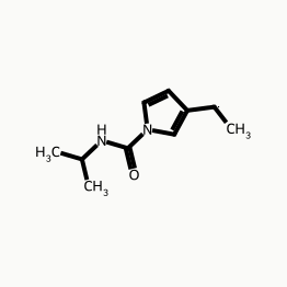 C[CH]c1ccn(C(=O)NC(C)C)c1